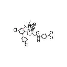 COC(=O)c1ccc(NC(=O)C[C@@]2(C)C[C@H](c3cccc(Cl)c3)[C@@H](c3ccc(Cl)cc3)N([C@@H](C(C)C)C(C(C)C)[SH](=O)=O)C2=O)cc1